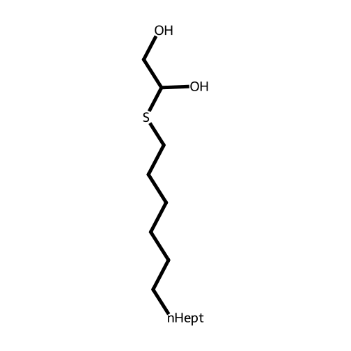 CCCCCCCCCCCCCSC(O)CO